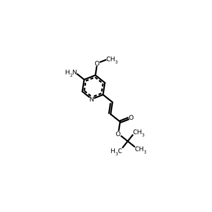 COc1cc(C=CC(=O)OC(C)(C)C)ncc1N